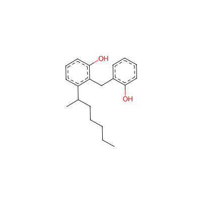 CCCCCC(C)c1cccc(O)c1Cc1ccccc1O